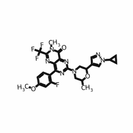 COc1ccc(-c2nc(N3CC(C)OC(c4cnn(C5CC5)c4)C3)nc3c(=O)n(C)c(C(F)(F)F)nc23)c(F)c1